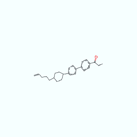 C=CCCCC1CCC(c2ccc(-c3ccc(C(=O)CC)cc3)cc2)CC1